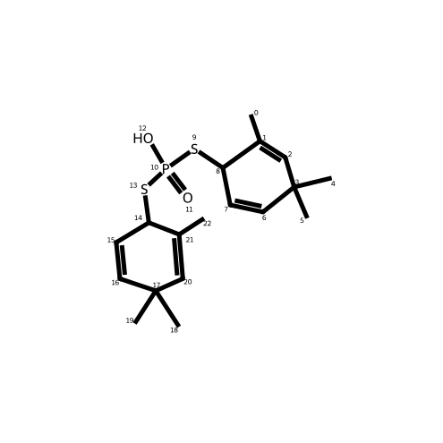 CC1=CC(C)(C)C=CC1SP(=O)(O)SC1C=CC(C)(C)C=C1C